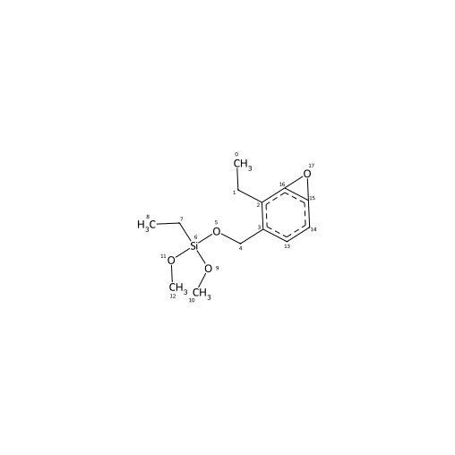 CCc1c(CO[Si](CC)(OC)OC)ccc2c1O2